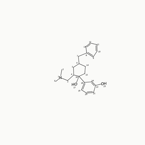 CN(C)CC1CC(Cc2ccccc2)CCC1(O)c1cccc(O)c1